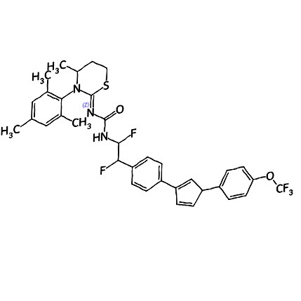 Cc1cc(C)c(N2/C(=N/C(=O)NC(F)C(F)c3ccc(C4=CC(c5ccc(OC(F)(F)F)cc5)C=C4)cc3)SCCC2C)c(C)c1